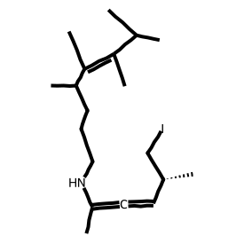 CC(=C=C[C@@H](C)CI)NCCCC(C)/C(C)=C(\C)C(C)C